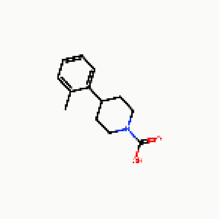 Cc1ccccc1C1CCN(C(=O)O)CC1